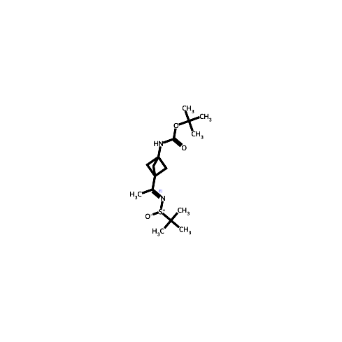 C/C(=N\[S+]([O-])C(C)(C)C)C12CC(NC(=O)OC(C)(C)C)(C1)C2